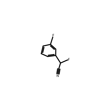 N#CC(F)c1cccc(F)c1